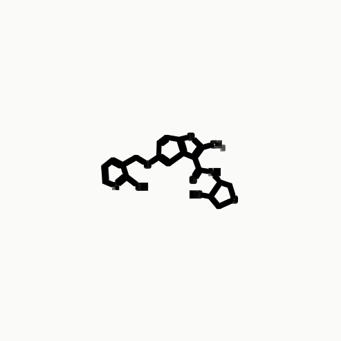 Cc1oc2ccc(OCc3cccnc3O)cc2c1C(=O)N[C@H]1COCC1O